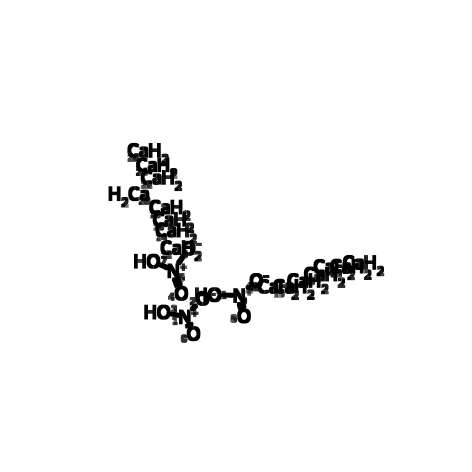 O=[N+]([O-])O.O=[N+]([O-])O.O=[N+]([O-])O.[CaH2].[CaH2].[CaH2].[CaH2].[CaH2].[CaH2].[CaH2].[CaH2].[CaH2].[CaH2].[CaH2].[CaH2].[CaH2].[CaH2].[CaH2]